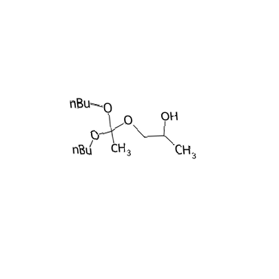 CCCCOC(C)(OCCCC)OCC(C)O